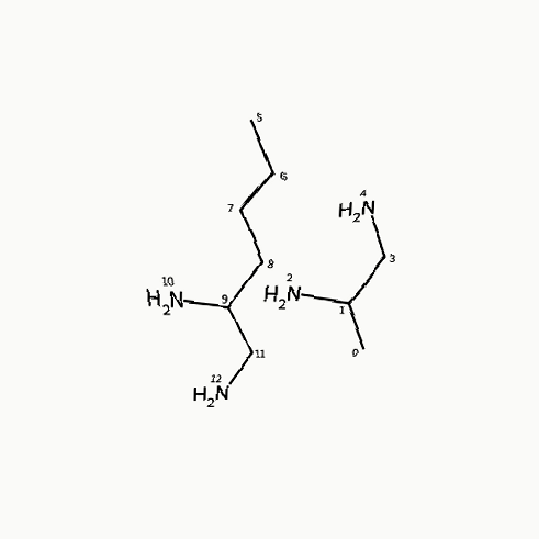 CC(N)CN.CCCCC(N)CN